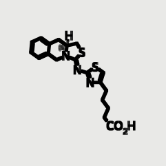 O=C(O)CCCCc1csc(N=C2SC[C@@H]3Cc4ccccc4CN23)n1